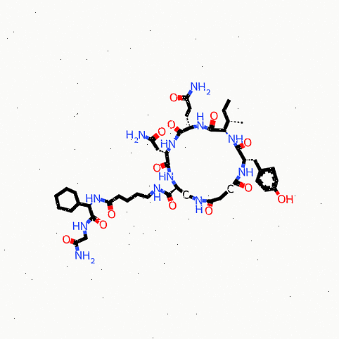 CC[C@H](C)[C@@H]1NC(=O)[C@H](Cc2ccc(O)cc2)NC(=O)CCC(=O)NC[C@@H](C(=O)NCCCCC(=O)N[C@H](C(=O)NCC(N)=O)C2CCCCC2)NC(=O)[C@H](CC(N)=O)NC(=O)[C@H](CCC(N)=O)NC1=O